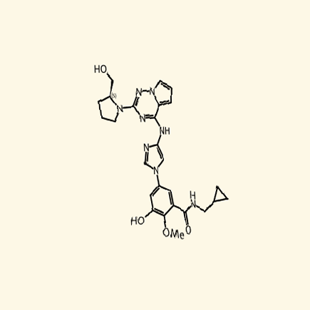 COc1c(O)cc(-n2cnc(Nc3nc(N4CCC[C@H]4CO)nn4cccc34)c2)cc1C(=O)NCC1CC1